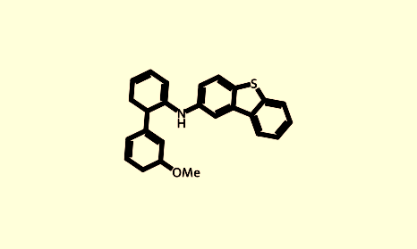 COC1C=C(C2CC=CC=C2Nc2ccc3sc4ccccc4c3c2)C=CC1